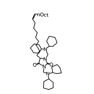 CCCCCCCC/C=C\CCCCCCCCC1C(=O)N(CN(C2CCCCC2)C2CCCCC2)C(=O)N1CN(C1CCCCC1)C1CCCCC1